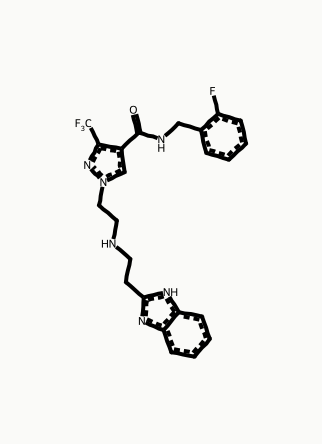 O=C(NCc1ccccc1F)c1cn(CCNCCc2nc3ccccc3[nH]2)nc1C(F)(F)F